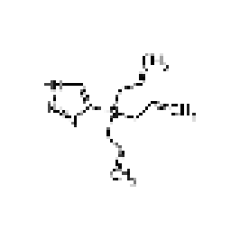 C=CC[Si](CC=C)(CC=C)c1c[nH]nn1